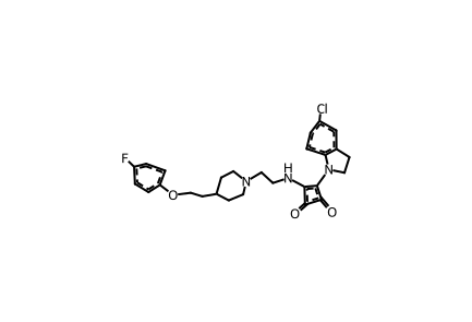 O=c1c(NCCN2CCC(CCOc3ccc(F)cc3)CC2)c(N2CCc3cc(Cl)ccc32)c1=O